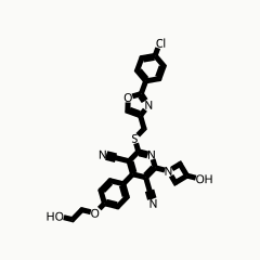 N#Cc1c(SCc2coc(-c3ccc(Cl)cc3)n2)nc(N2CC(O)C2)c(C#N)c1-c1ccc(OCCO)cc1